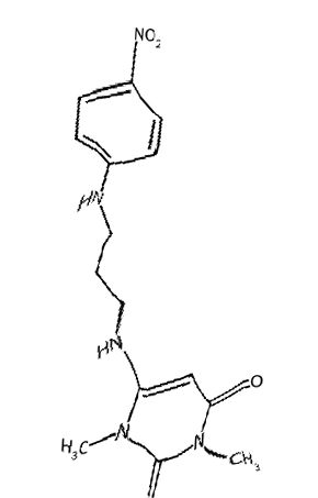 Cn1c(NCCCNc2ccc([N+](=O)[O-])cc2)cc(=O)n(C)c1=O